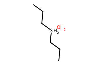 CCC[SiH2]CCC.O